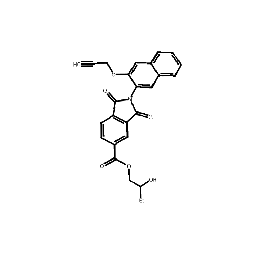 C#CCOc1cc2ccccc2cc1N1C(=O)c2ccc(C(=O)OCC(O)CC)cc2C1=O